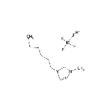 CCCCCCN1C=CN(C)C1.F[B-](F)(F)F.[H+]